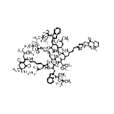 CNC(=O)C(CC(=O)C(CC(C)C)NC(=O)C(CCCCn1cc(CC(NC)C(=O)N2CCCCC2)nn1)CC(=O)C(NC(=O)C(CCCCNC(=O)OC(C)(C)C)CC(=O)C(Cc1cc2ccccc2n1C(=O)OC(C)(C)C)NC(=O)C(CCCCNC(CC(C)C)=C1C(=O)CC(C)(C)CC1=O)CC(C)=O)C(C)C)Cc1cc2ccccc2n1C(=O)OC(C)(C)C